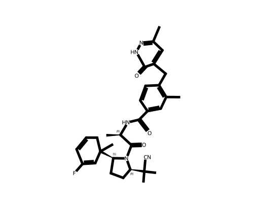 Cc1cc(Cc2ccc(C(=O)N[C@H](C)C(=O)N3[C@H](C4(C)C=C(F)C=CC4)CC[C@@H]3C(C)(C)C#N)cc2C)c(=O)[nH]n1